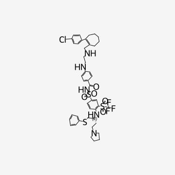 O=C(NS(=O)(=O)c1ccc(N[C@H](CCN2CCCC2)CSc2ccccc2)c(S(=O)(=O)C(F)(F)F)c1)c1ccc(NCCNCC2=C(c3ccc(Cl)cc3)CCCCC2)cc1